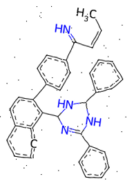 C/C=C\C(=N)c1ccc(-c2ccc3ccccc3c2C2N=C(c3ccccc3)NC(c3ccccc3)N2)cc1